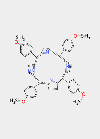 [SiH3]Oc1ccc(-c2c3nc(c(-c4ccc(O[SiH3])cc4)c4ccc([nH]4)c(-c4ccc(O[SiH3])cc4)c4nc(c(-c5ccc(O[SiH3])cc5)c5ccc2[nH]5)C=C4)C=C3)cc1